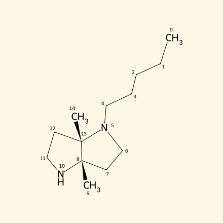 CCCCCN1CC[C@]2(C)NCC[C@]12C